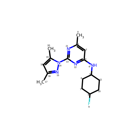 Cc1cc(NC2CCC(F)CC2)nc(-n2nc(C)cc2C)n1